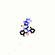 CSc1nc(N)nn1Cc1nc2cccc(C)c2c(=O)n1-c1ccccc1C